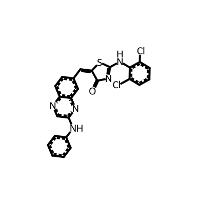 O=C1N=C(Nc2c(Cl)cccc2Cl)SC1=Cc1ccc2ncc(Nc3ccccc3)nc2c1